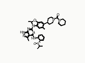 Cc1cc2c(cc1C1CCN(C(=O)N3CCCCC3)CC1)OC(C)N2c1nc(Nc2ccccc2[S+]([O-])C(C)C)c2c(C)n[nH]c2n1